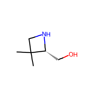 CC1(C)CN[C@@H]1CO